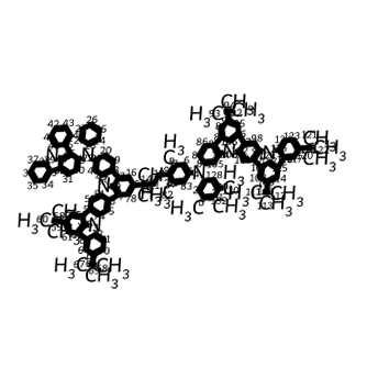 Cc1cc(N(c2cc(C)c(CCC(C)(C)c3cc4c5ccc(N(c6ccccc6)c6ccc7c8ccccc8n8c9ccccc9c6c78)cc5n5c6cc7c8cc(C(C)(C)C)cc9c%10cc(C(C)(C)C)ccc%10n(c7cc6c(c3)c45)c98)c(C)c2)c2ccc3c4cc(C(C)(C)C)cc5c6cc7c(cc6n(c3c2)c45)c2cc(C(C)(C)C)cc3c4cc(C(C)(C)C)ccc4n7c32)cc(C)c1C